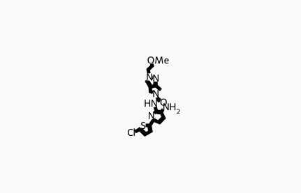 COCCn1cc2c(n1)CN(C(=O)Nc1nc(-c3ccc(Cl)s3)ccc1N)C2